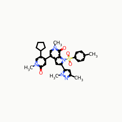 Cc1ccc(S(=O)(=O)n2c(-c3cc(C)nn3C)cc3c(-c4cc(=O)n(C)cc4C4CCCC4)cn(C)c(=O)c32)cc1